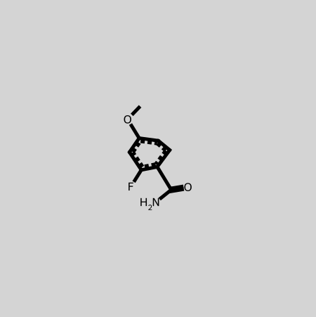 COc1ccc(C(N)=O)c(F)c1